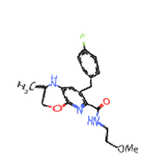 COCCNC(=O)c1nc2c(cc1Cc1ccc(F)cc1)NC(C)CO2